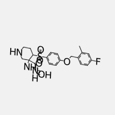 Cc1cc(F)ccc1COc1ccc(S(=O)(=O)C2CCNCC2(N)C(=O)NO)cc1